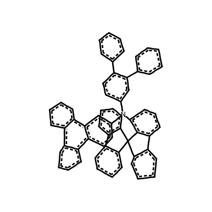 c1ccc(-c2ccc(N(c3ccc4c5ccccc5c5ccccc5c4c3)c3cccc4c3C3(c5ccccc5-c5ccccc53)c3ccccc3-4)cc2-c2ccccc2)cc1